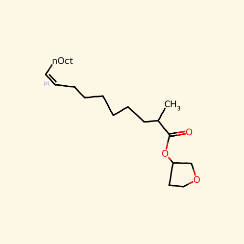 CCCCCCCC/C=C\CCCCCCC(C)C(=O)OC1CCOC1